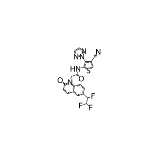 N#Cc1csc(NC(=O)Cn2c(=O)ccc3cc(C(F)C(F)F)ccc32)c1-n1nccn1